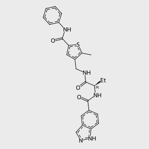 CC[C@@H](NC(=O)c1ccc2[nH]ncc2c1)C(=O)NCc1cc(C(=O)Nc2ccccc2)sc1C